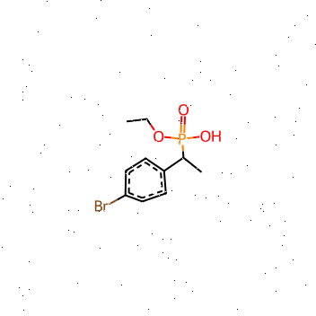 CCOP(=O)(O)C(C)c1ccc(Br)cc1